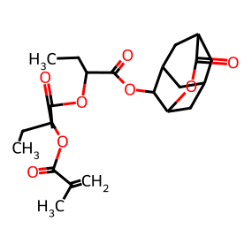 C=C(C)C(=O)OC(CC)C(=O)OC(CC)C(=O)OC1C2CC3CC(C2)C(=O)OC1C3